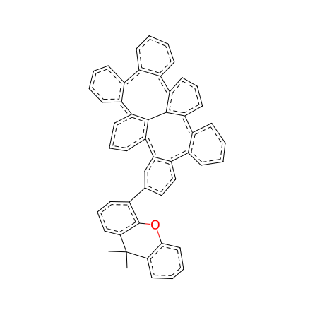 CC1(C)c2ccccc2Oc2c(-c3ccc4c(c3)c3cccc5c3-c3c(cccc3c3ccccc34)c3ccccc3c3ccccc53)cccc21